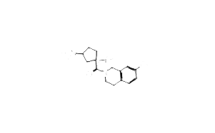 CC(C)[C@]1(C(=O)N2CCc3ccc(C(F)(F)F)cc3C2)CCC(N)C1